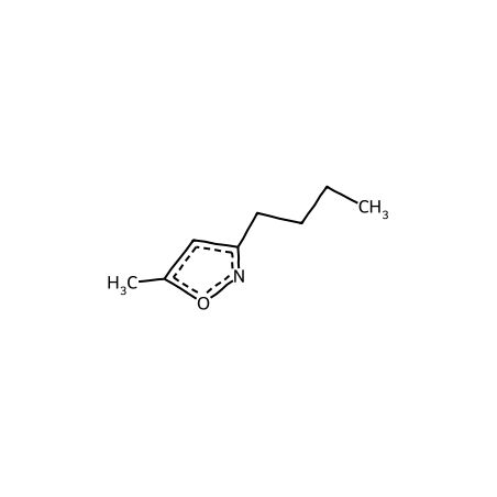 CCCCc1cc(C)on1